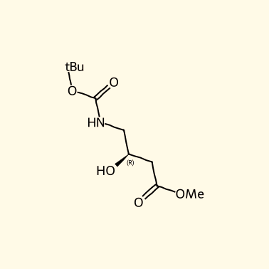 COC(=O)C[C@@H](O)CNC(=O)OC(C)(C)C